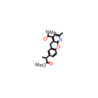 CNC(=O)c1cc(C)nc2c1Cc1cc(C(C)C(=O)OC)ccc1O2